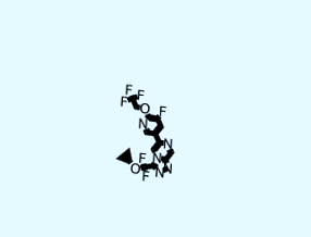 Fc1cc(-c2cn3c(C(F)(F)OC4CC4)nnc3cn2)cnc1OCC(F)(F)F